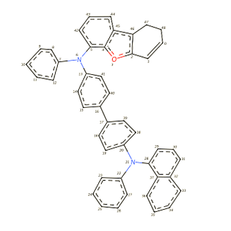 C1=Cc2oc3c(N(c4ccccc4)c4ccc(-c5ccc(N(c6ccccc6)c6cccc7ccccc67)cc5)cc4)cccc3c2CC1